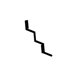 [CH]=CCC/C=[C]/C